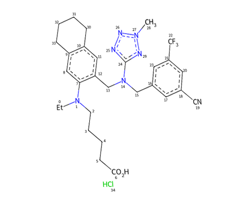 CCN(CCCCC(=O)O)c1cc2c(cc1CN(Cc1cc(C#N)cc(C(F)(F)F)c1)c1nnn(C)n1)CCCC2.Cl